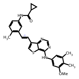 COc1cc(Nc2ncnc3c(/C=C/c4cc(NC(=O)C5CC5)ccc4C)csc23)cc(C)c1C